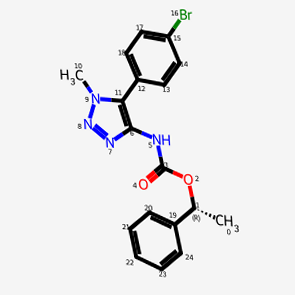 C[C@@H](OC(=O)Nc1nnn(C)c1-c1ccc(Br)cc1)c1ccccc1